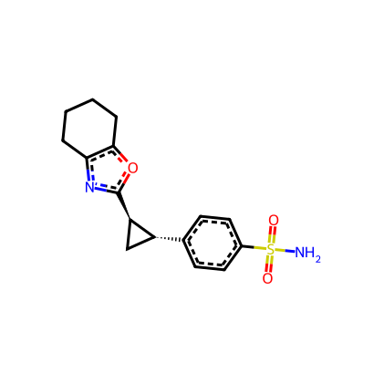 NS(=O)(=O)c1ccc([C@@H]2C[C@H]2c2nc3c(o2)CCCC3)cc1